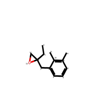 CCC1(Cc2cccc(C)c2C)CO1